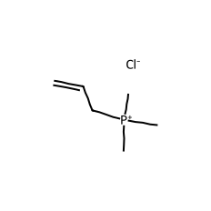 C=CC[P+](C)(C)C.[Cl-]